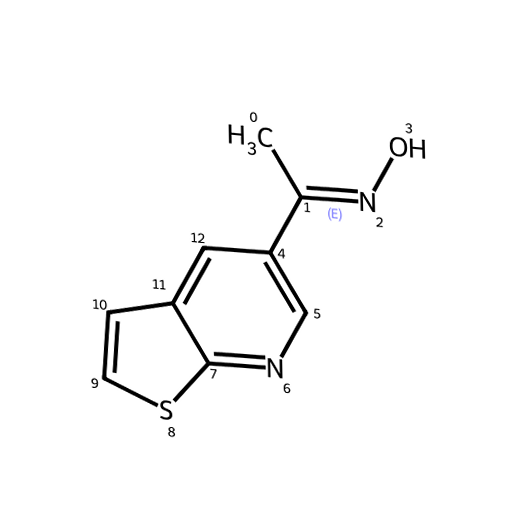 C/C(=N\O)c1cnc2sccc2c1